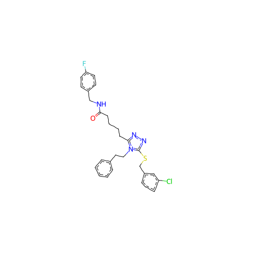 O=C(CCCCc1nnc(SCc2cccc(Cl)c2)n1CCc1ccccc1)NCc1ccc(F)cc1